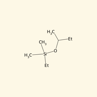 CCC(C)O[Si](C)(C)CC